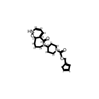 O=C(OCC1=CC=CC1)N1CCC(N2CCCC3ONC=CC=C3C2=O)CC1